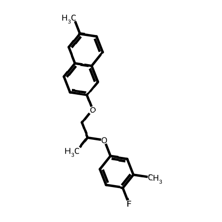 Cc1ccc2cc(OCC(C)Oc3ccc(F)c(C)c3)ccc2c1